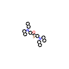 c1ccc2cc(N(c3ccc4c(c3)oc3c5ccc(N(c6ccc7ccccc7c6)c6cccc7ccccc67)cc5sc43)c3cccc4ccccc34)ccc2c1